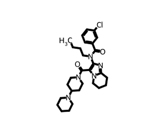 CCCCN(C(=O)c1cccc(Cl)c1)c1nc2n(c1C(=O)N1CCC(N3CCCCC3)CC1)CCCC2